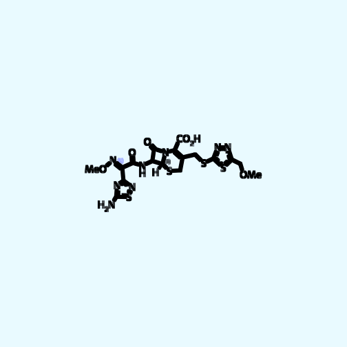 COCc1nnc(SCC2=C(C(=O)O)N3C(=O)C(NC(=O)/C(=N/OC)c4nsc(N)n4)[C@H]3SC2)s1